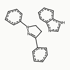 c1ccc(C2=NN(c3ccccc3)CC2)cc1.c1ccc2[nH]cnc2c1